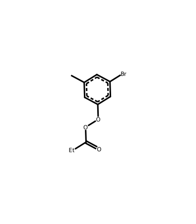 CCC(=O)OOc1cc(C)cc(Br)c1